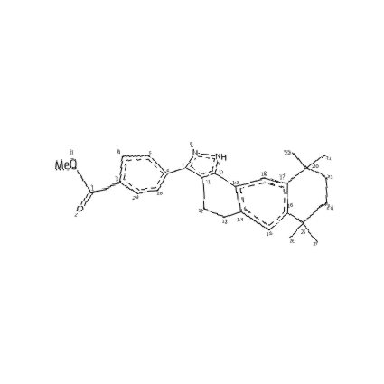 COC(=O)c1ccc(-c2n[nH]c3c2CCc2cc4c(cc2-3)C(C)(C)CCC4(C)C)cc1